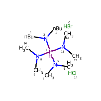 Br.CCCCN(CCCC)[PH](N(C)C)(N(C)C)N(C)C.Cl